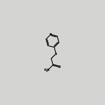 NC(=O)CSc1ccncc1